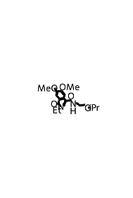 CCn1cc(C(=O)NCCCOC(C)C)c2cc(OC)c(OC)cc2c1=O